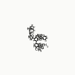 Cc1ncc(-c2cc(-c3nnc(CN4CCN5CCC[C@H]5C4)o3)c3cnn(S(=O)(=O)c4ccccc4)c3c2)cc1NS(C)(=O)=O